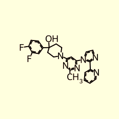 Cc1nc(N2CCC(O)(c3ccc(F)c(F)c3)CC2)cc(-n2ccnc2-c2ccccn2)n1